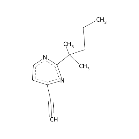 C#Cc1ccnc(C(C)(C)CCC)n1